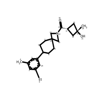 CCc1cc(C)cc(C2CCC3(CC2)CN(C(=O)[C@H]2C[C@@](C)(O)C2)C3)c1